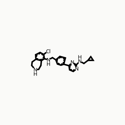 Clc1ccc2c(c1NCc1ccc(-c3ccnc(NCC4CC4)n3)cc1)CCNCC2